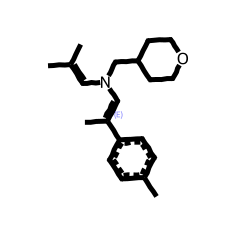 CC(C)=CN(/C=C(\C)c1ccc(C)cc1)CC1CCOCC1